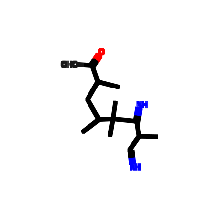 CC(C=N)C(=N)C(C)(C)C(C)CC(C)C(=O)C=O